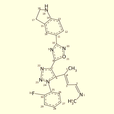 C/N=C\C=C(/C)c1c(-c2nc(-c3ccc4c(c3)CCN4)no2)nnn1-c1ccccc1F